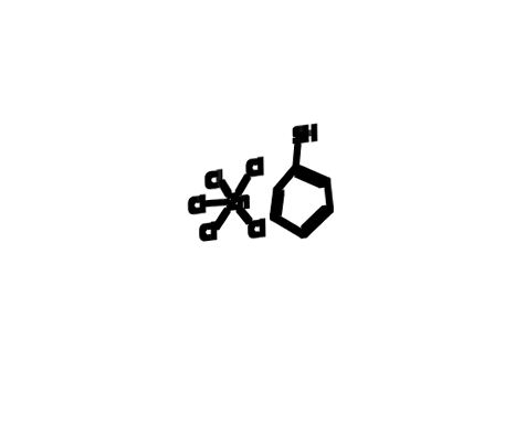 Sc1ccccc1.[Cl][Zn]([Cl])([Cl])([Cl])[Cl]